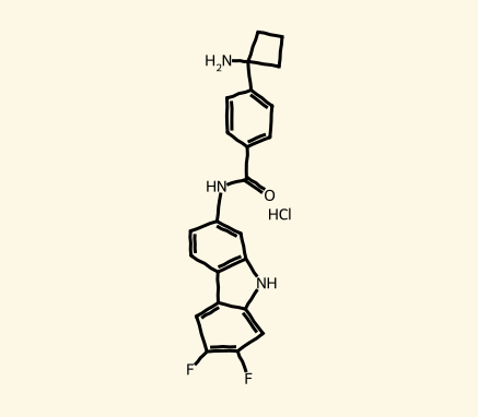 Cl.NC1(c2ccc(C(=O)Nc3ccc4c(c3)[nH]c3cc(F)c(F)cc34)cc2)CCC1